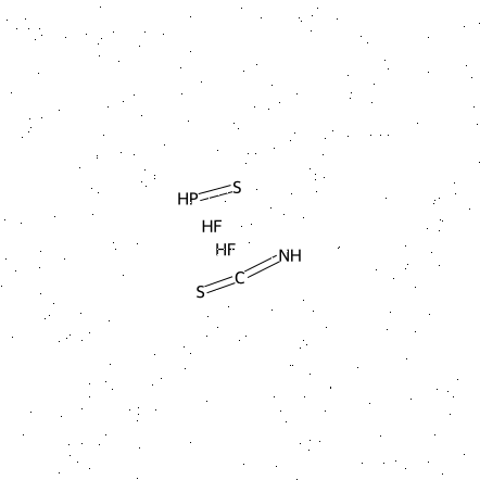 F.F.N=C=S.P=S